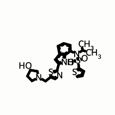 CC(C)N(c1cccc2cc(-c3ncc(CN4CCC(O)C4)s3)[nH]c12)S(=O)(=O)c1cccs1